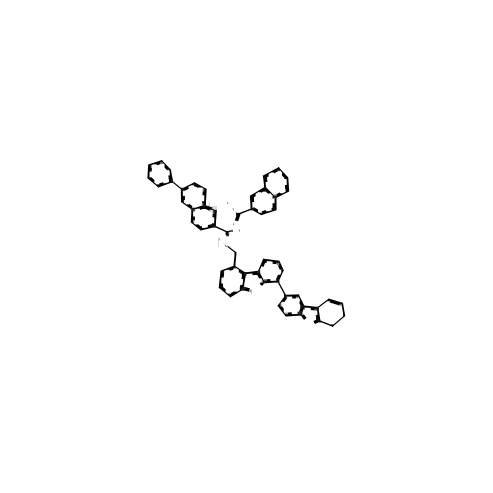 N/C(=N\C(=N/Cc1cccc2oc3c(-c4ccc5sc6c(c5c4)C=CCC6)cccc3c12)c1ccc2cc(-c3ccccc3)ccc2c1)c1ccc2ccccc2c1